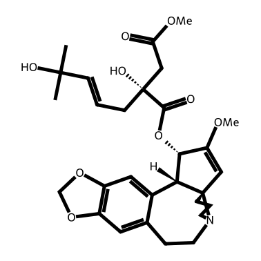 COC(=O)C[C@](O)(C/C=C/C(C)(C)O)C(=O)O[C@@H]1C(OC)=C[C@]23CCCN2CCc2cc4c(cc2[C@H]13)OCO4